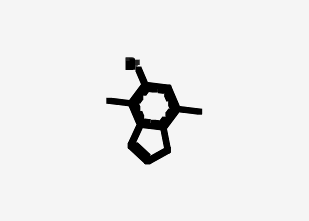 Cc1cc(Br)c(C)c2c1CC=C2